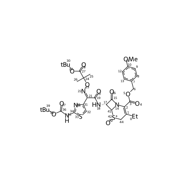 CCC1=C(C(=O)OCc2ccc(OC)cc2)N2C(=O)[C@@H](NC(=O)/C(=N\OC(C)(C)C(=O)OC(C)(C)C)c3csc(NC(=O)OC(C)(C)C)n3)C2[S+]([O-])C1